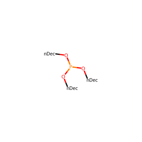 CCCCCCCCCCOP(OCCCCCCCCCC)OCCCCCCCCCC